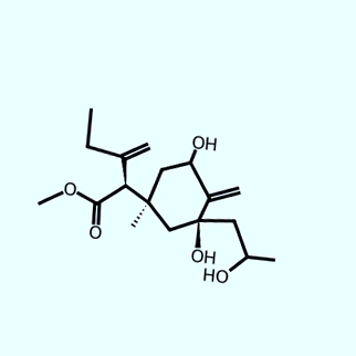 C=C(CC)[C@H](C(=O)OC)[C@@]1(C)CC(O)C(=C)[C@](O)(CC(C)O)C1